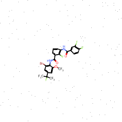 O=C(Nc1cccc(C(=O)Nc2c(Br)cc(C(F)(C(F)(F)F)C(F)(F)F)cc2OC(F)(F)F)c1F)c1ccc(F)c(F)c1